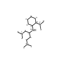 CN(C)CCC(CN(C)C)NC1CCCCC1N(C)C